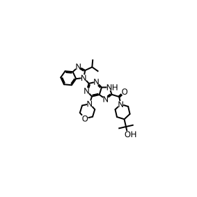 CC(C)c1nc2ccccc2n1-c1nc(N2CCOCC2)c2nc(C(=O)N3CCC(C(C)(C)O)CC3)[nH]c2n1